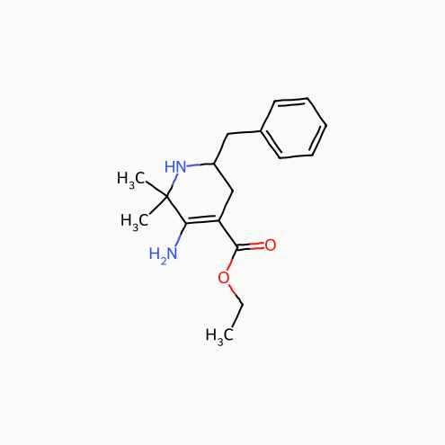 CCOC(=O)C1=C(N)C(C)(C)NC(Cc2ccccc2)C1